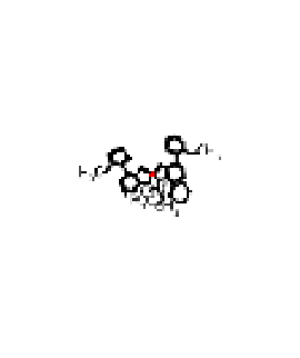 CCc1ccccc1-c1cccc2c1C=C[CH]2[Hf]([CH3])([CH3])([CH]1C=Cc2c(-c3ccccc3CC)cccc21)=[Si](C)C1CCCCC1